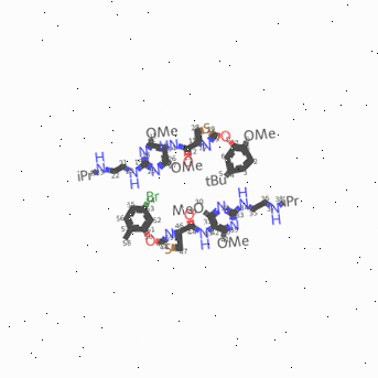 COc1ccc(C(C)(C)C)cc1Oc1nc(C(=O)Nc2c(OC)nc(NCCNC(C)C)nc2OC)cs1.COc1nc(NCCNC(C)C)nc(OC)c1NC(=O)c1csc(Oc2cc(Br)ccc2C)n1